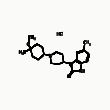 COC1(C)CCC(N2CCC(n3c(=O)[nH]c4ccc(C)cc43)CC2)CC1.Cl